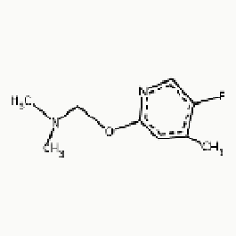 Cc1cc(OCN(C)C)ncc1F